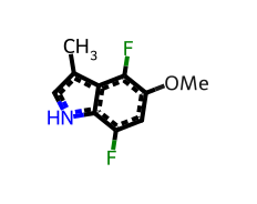 COc1cc(F)c2[nH]cc(C)c2c1F